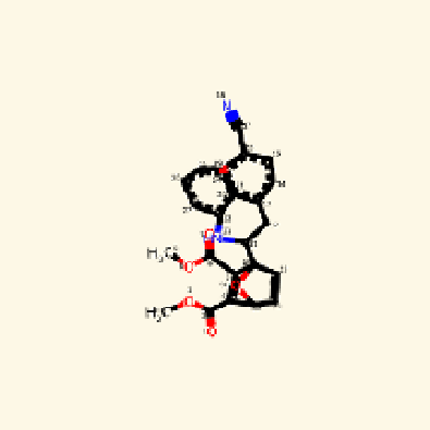 COC(=O)C1=C(C(=O)OC)C2(C(Cc3ccc(C#N)cc3)Nc3ccccc3)C=CC1O2